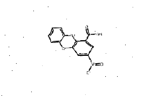 O=C(O)c1cc([N+](=O)[O-])cc2c1Nc1ccccc1O2